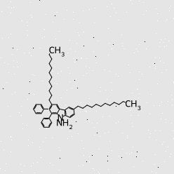 CCCCCCCCCCCCc1ccc2c(c1)c1cc(CCCCCCCCCCCC)c(-c3ccccc3)c(-c3ccccc3)c1n2N